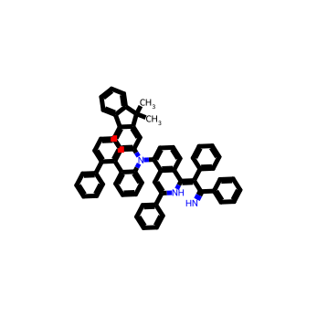 CC1(C)c2ccccc2-c2ccc(N(c3ccccc3-c3ccccc3-c3ccccc3)c3cccc4c3C=C(c3ccccc3)N/C4=C(\C(=N)c3ccccc3)c3ccccc3)cc21